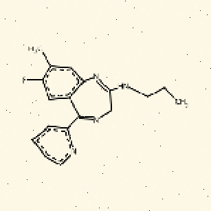 CCCNC1=Nc2cc(C)c(F)cc2C(c2ccccn2)=NC1